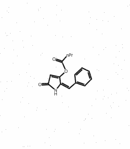 CCCC(=O)OC1=CC(=O)NC1=Cc1ccccc1